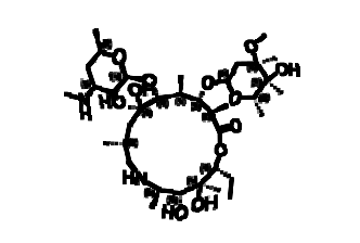 CC[C@H]1OC(=O)[C@H](C)[C@@H](O[C@H]2C[C@@](C)(OC)[C@@](C)(O)[C@H](C)O2)[C@H](C)[C@@H](O[C@@H]2O[C@H](C)C[C@H](NC)[C@H]2O)[C@](C)(O)C[C@@H](C)CN[C@H](C)[C@@H](O)[C@]1(C)O